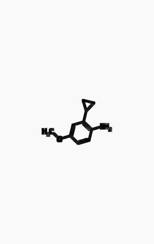 Bc1ccc(OC)cc1C1CC1